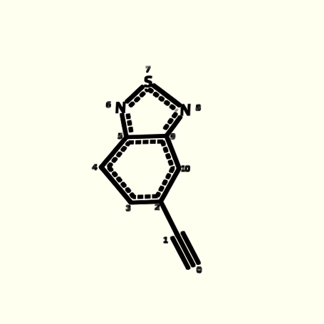 C#Cc1ccc2nsnc2c1